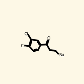 CCC(C)CCC(=O)c1ccc(Cl)c(Cl)c1